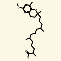 COc1cc(C)c2c(c1)CCC(C)(CCCC(C)CCCC(C)CCCC(C)C(=O)O)O2